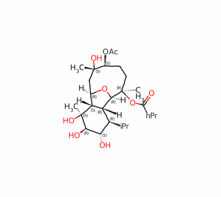 CCCC(=O)O[C@]1(C)CC[C@H](OC(C)=O)[C@@](C)(O)C[C@H]2O[C@@H]1[C@@H]1[C@@H](C(C)C)[C@H](O)[C@@H](O)[C@@](C)(O)[C@@H]12